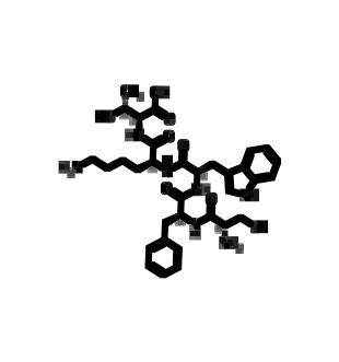 C[C@@H](O)[C@H](NC(=O)[C@H](CCCCN)NC(=O)[C@@H](Cc1c[nH]c2ccccc12)NC(=O)[C@H](Cc1ccccc1)NC(=O)[C@@H](N)CS)C(=O)O